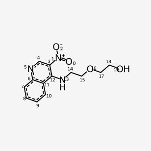 O=[N+]([O-])c1cnc2ccccc2c1NCCOCCO